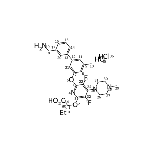 CC[C@@H](Oc1nc(Oc2cc(C)cc(-c3cccc(CN)c3)c2)c(F)c(N2CCN(C)CC2)c1F)C(=O)O.Cl.Cl